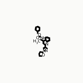 C[C@@H](NC(=O)OCc1ccccc1)c1cc(-c2cnn(C3CCCCO3)c2)nc2ccccc12